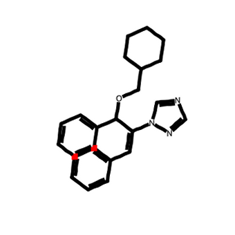 C(=C(/C(OCC1CCCCC1)c1ccccc1)n1cncn1)/c1ccccc1